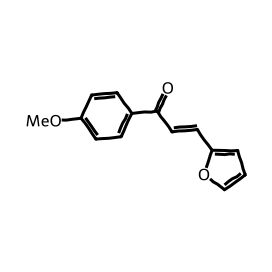 COc1ccc(C(=O)/C=C/c2ccco2)cc1